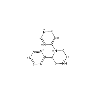 c1ncnc(C2CNCCN2c2ncncn2)n1